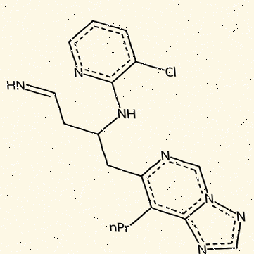 CCCc1c(CC(CC=N)Nc2ncccc2Cl)ncn2ncnc12